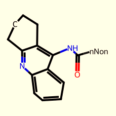 CCCCCCCCCC(=O)Nc1c2c(nc3ccccc13)CCCC2